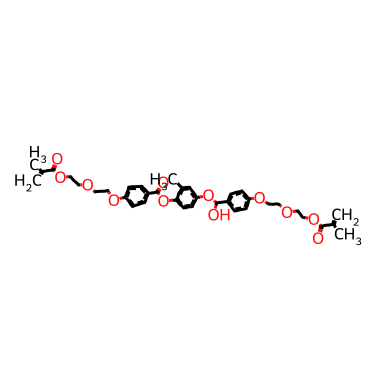 C=C(C)C(=O)OCCOCCOc1ccc(C(=O)Oc2ccc(OC(O)c3ccc(OCCOCCOC(=O)C(=C)C)cc3)cc2C)cc1